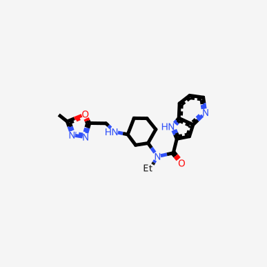 CCN(C(=O)c1cc2ncccc2[nH]1)C1CCCC(NCc2nnc(C)o2)C1